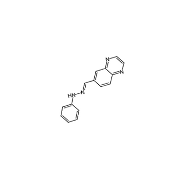 C(=N\Nc1ccccc1)/c1ccc2nccnc2c1